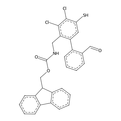 O=Cc1ccccc1-c1cc(S)c(Cl)c(Cl)c1CNC(=O)OCC1c2ccccc2-c2ccccc21